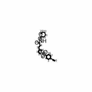 C#Cc1ccc(S(=O)(=O)n2ccc(C=CC(=O)NOC3CCCCO3)c2)cc1